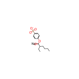 CCCCC(CC)C(=O)Oc1ccc(S(=O)(=O)[O-])cc1.[Na+]